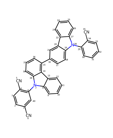 N#Cc1ccc(C#N)c(-n2c3ccccc3c3c(-c4ccc5c(c4)c4ccccc4n5-c4ccccc4C#N)cccc32)c1